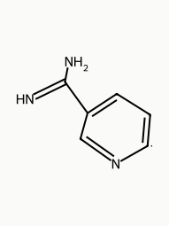 N=C(N)c1cc[c]nc1